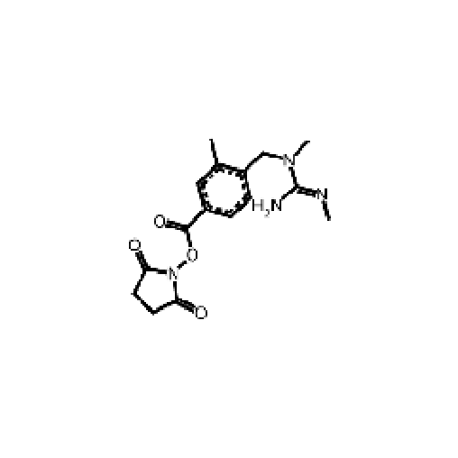 C/N=C(\N)N(C)Cc1ccc(C(=O)ON2C(=O)CCC2=O)cc1C